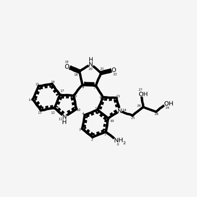 Nc1cccc2c(C3=C(c4c[nH]c5ccccc45)C(=O)NC3=O)cn(CC(O)CO)c12